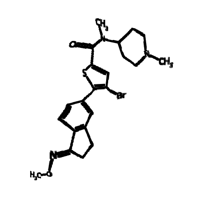 CON=C1CCc2cc(-c3sc(C(=O)N(C)C4CCN(C)CC4)cc3Br)ccc21